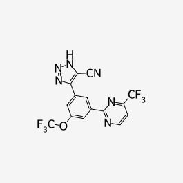 N#Cc1[nH]nnc1-c1cc(OC(F)(F)F)cc(-c2nccc(C(F)(F)F)n2)c1